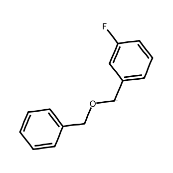 Fc1cccc([CH]OCc2ccccc2)c1